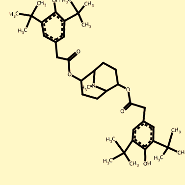 CN1C2CCC(OC(=O)Cc3cc(C(C)(C)C)c(O)c(C(C)(C)C)c3)C1CCC2OC(=O)Cc1cc(C(C)(C)C)c(O)c(C(C)(C)C)c1